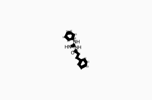 N=C(NC(=O)CCc1ccccc1)Nc1cc#ccc1